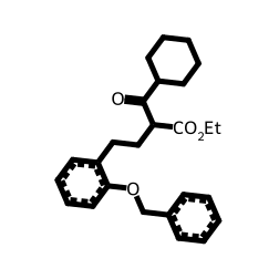 CCOC(=O)C(CCc1ccccc1OCc1ccccc1)C(=O)C1CCCCC1